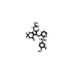 COc1ccc(S(=O)(=O)c2ncccc2Cc2c3c(n(CC(=O)O)c2C)CC(C)(C)CC3=O)cc1F